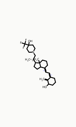 C=C1/C(=C\C=C2/CCCC3(C)C2CCC3[C@H](C)CN2CCC(O)(C(F)(F)F)CC2)CCCC1O